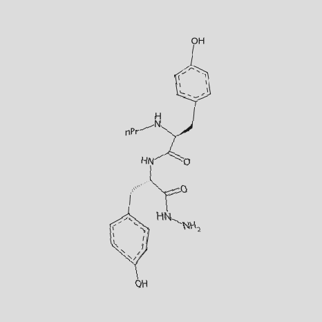 CCCN[C@@H](Cc1ccc(O)cc1)C(=O)N[C@@H](Cc1ccc(O)cc1)C(=O)NN